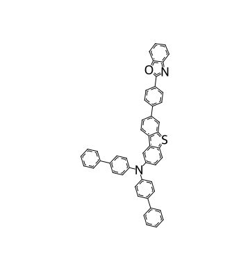 c1ccc(-c2ccc(N(c3ccc(-c4ccccc4)cc3)c3ccc4sc5cc(-c6ccc(-c7nc8ccccc8o7)cc6)ccc5c4c3)cc2)cc1